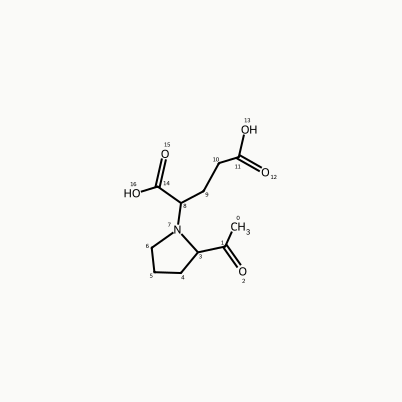 CC(=O)C1CCCN1C(CCC(=O)O)C(=O)O